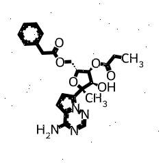 CCC(=O)O[C@H]1[C@@H](O)[C@](C)(c2ccc3c(N)ncnn23)O[C@@H]1COC(=O)Cc1ccccc1